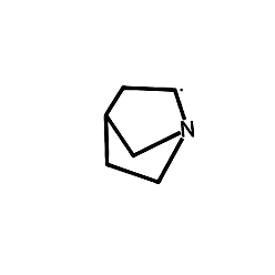 [CH]1CC2CCN1C2